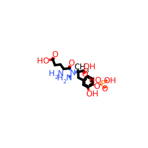 CC(Cc1ccc(OP(=O)(O)O)c(O)c1)(C(=O)O)N(N)C(=O)[C@@H](N)CCC(=O)O